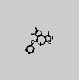 CC1=C(C)C2=C(C1)c1c(C)noc1CN=C2Oc1ccccc1